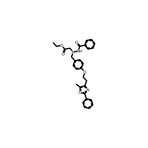 CCOC(=O)CN(Cc1ccc(OCCc2nc(-c3ccccc3)oc2C)cc1)NC(=O)c1ccccc1